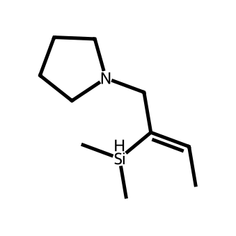 CC=C(CN1CCCC1)[SiH](C)C